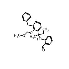 CCC(C)(Pc1ccccc1C=O)c1cccc(Cc2ccccc2)c1OCOC